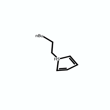 [CH2]CCCCC[SH]1C=CC=C1